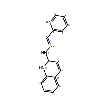 C1=CC(N/N=C/c2ccccn2)Nc2ccccc21